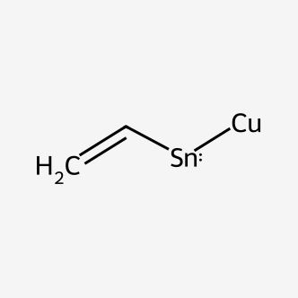 C=[CH][Sn][Cu]